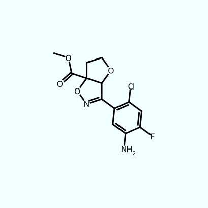 COC(=O)C12CCOC1C(c1cc(N)c(F)cc1Cl)=NO2